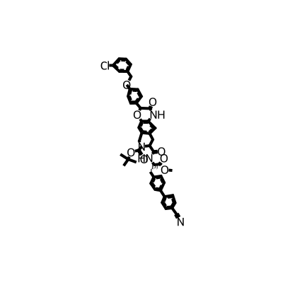 COC(=O)[C@H](Cc1ccc(-c2ccc(C#N)cc2)cc1)NC(=O)C1Cc2cc3c(cc2CN1C(=O)OC(C)(C)C)OC(c1ccc(OCc2cccc(Cl)c2)cc1)C(=O)N3